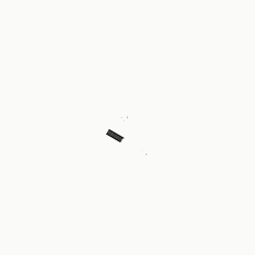 [Fe].[Mn].[Nb].[O]=[Ta]